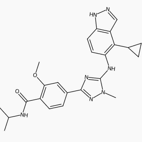 COc1cc(-c2nc(Nc3ccc4[nH]ncc4c3C3CC3)n(C)n2)ccc1C(=O)NC(C)C